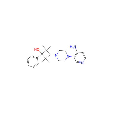 CC1(C)C(N2CCN(c3cnccc3N)CC2)C(C)(C)C1(O)c1ccccc1